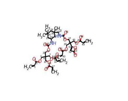 C=CC(=O)OCC(COC(=O)C=C)(COC(=O)C=C)COC(=O)NC1CC(C)(C)CC(C)(CNC(=O)OCC(COC(=O)C=C)(COC(=O)C=C)C2=CC(=O)O2)C1